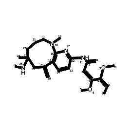 C=C(/C=C(OC)\C(=C/C)OC)Nc1ccc2c(n1)N(C)CCCC(C)(NC)CC2=C